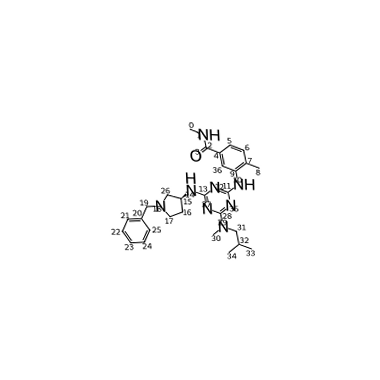 CNC(=O)c1ccc(C)c(Nc2nc(N[C@H]3CCN(Cc4ccccc4)C3)nc(N(C)CC(C)C)n2)c1